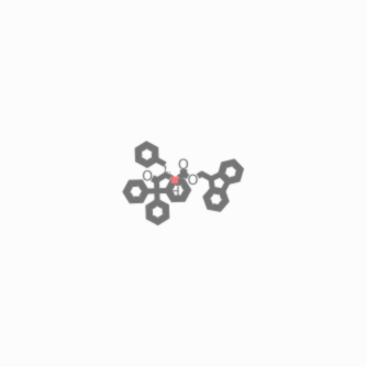 O=C(N[C@@H](Cc1ccccc1)C(=O)C(c1ccccc1)(c1ccccc1)c1ccccc1)OCC1c2ccccc2-c2ccccc21